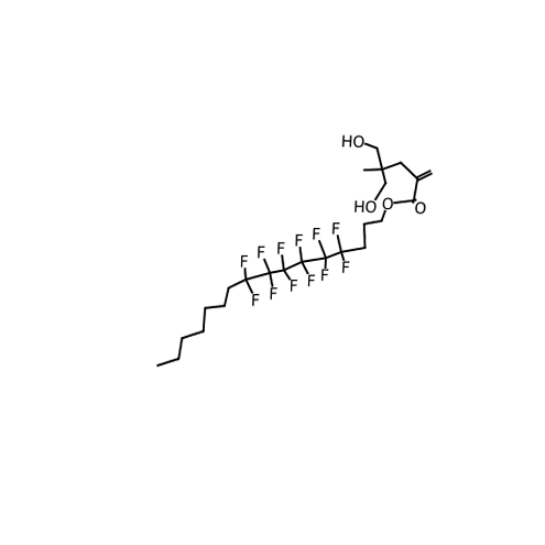 C=C(CC(C)(CO)CO)C(=O)OCCCC(F)(F)C(F)(F)C(F)(F)C(F)(F)C(F)(F)C(F)(F)CCCCCCC